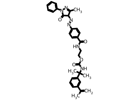 C=C(C)c1cccc(C(C)(C)NC(=O)OCCNC(=O)c2ccc(/N=N/C3C(=O)N(c4ccccc4)N=C3C)cc2)c1